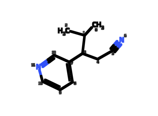 CC(C)C(CC#N)c1cccnc1